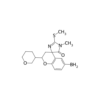 Bc1ccc2c(c1)C1(CC(C3CCCOC3)O2)N=C(SC)N(C)C1=O